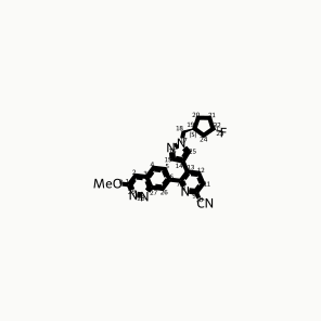 COc1cc2ccc(-c3nc(C#N)ccc3-c3cnn(C[C@H]4CC[C@H](F)C4)c3)cc2nn1